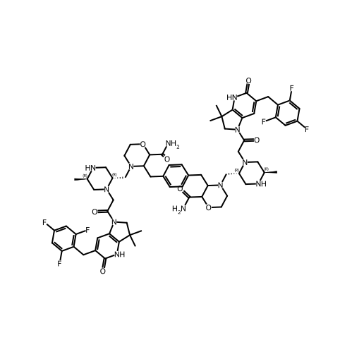 C[C@@H]1CN(CC(=O)N2CC(C)(C)c3[nH]c(=O)c(Cc4c(F)cc(F)cc4F)cc32)[C@@H](CN2CCOC(C(N)=O)C2Cc2ccc(CC3C(C(N)=O)OCCN3C[C@H]3CN[C@H](C)CN3CC(=O)N3CC(C)(C)c4[nH]c(=O)c(Cc5c(F)cc(F)cc5F)cc43)cc2)CN1